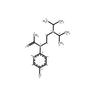 CC(=O)N(CCN(C(C)C)C(C)C)c1ccc(Cl)cn1